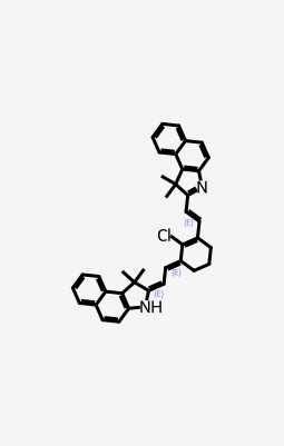 CC1(C)C(/C=C/C2=C(Cl)C(=C/C=C3/Nc4ccc5ccccc5c4C3(C)C)/CCC2)=Nc2ccc3ccccc3c21